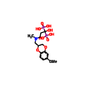 COc1ccc2c(c1)OCC(CN(C)CCC(O)(P(=O)(O)O)P(=O)(O)O)O2